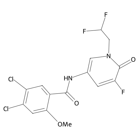 COc1cc(Cl)c(Cl)cc1C(=O)Nc1cc(F)c(=O)n(CC(F)F)c1